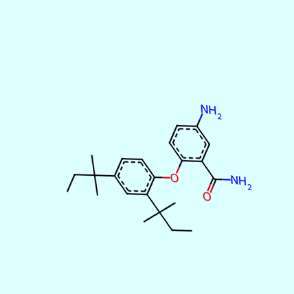 CCC(C)(C)c1ccc(Oc2ccc(N)cc2C(N)=O)c(C(C)(C)CC)c1